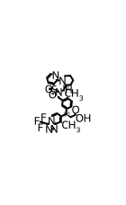 Cc1ccc([C@@H](CC(=O)O)c2ccn3c(C(F)(F)F)nnc3c2C)cc1CN1C[C@@H]2CCCCN2c2ncccc2S1(=O)=O